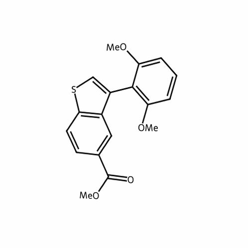 COC(=O)c1ccc2scc(-c3c(OC)cccc3OC)c2c1